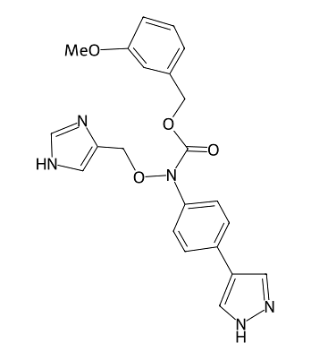 COc1cccc(COC(=O)N(OCc2c[nH]cn2)c2ccc(-c3cn[nH]c3)cc2)c1